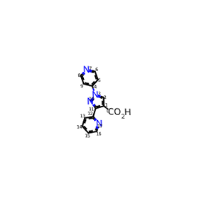 O=C(O)c1cn(-c2ccncc2)nc1-c1ccccn1